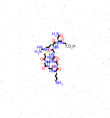 C[C@H](NC(=O)[C@H](C)NC(=O)[C@H](CCCCN)NC(=O)CNC(=O)[C@H](C)NC(=O)[C@@H](N)CS)C(=O)NCC(=O)N[C@@H](CCCNC(=N)N)C(=O)N[C@@H](CC(N)=O)C(=O)NCC(=O)O